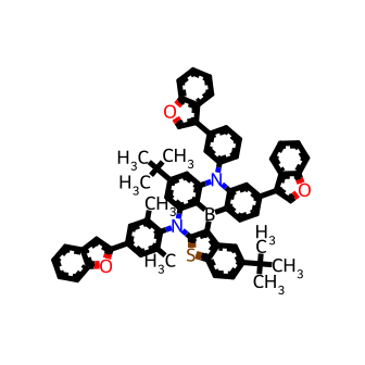 Cc1cc(-c2cc3ccccc3o2)cc(C)c1N1c2cc(C(C)(C)C)cc3c2B(c2ccc(-c4coc5ccccc45)cc2N3c2cccc(-c3coc4ccccc34)c2)c2c1sc1ccc(C(C)(C)C)cc21